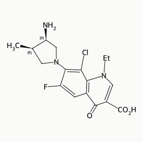 CCn1cc(C(=O)O)c(=O)c2cc(F)c(N3C[C@@H](C)[C@@H](N)C3)c(Cl)c21